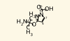 CC(C)(N)Oc1ccn(C(=O)O)n1